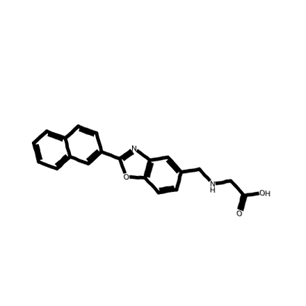 O=C(O)CNCc1ccc2oc(-c3ccc4ccccc4c3)nc2c1